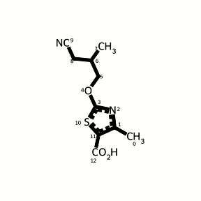 Cc1nc(OCC(C)CC#N)sc1C(=O)O